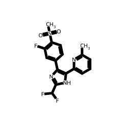 Cc1cccc(-c2[nH]c(C(F)F)nc2-c2ccc(S(C)(=O)=O)c(F)c2)n1